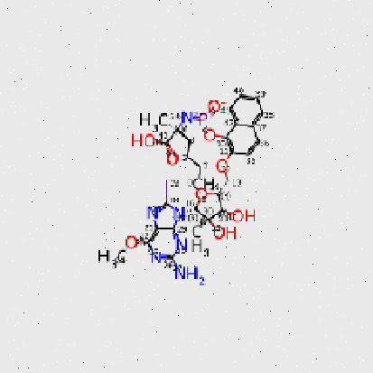 CCCC[C@](C)(/N=[P+](/[O-])Oc1c(OC[C@H]2O[C@@H](n3c(I)nc4c(OC)nc(N)nc43)[C@](C)(O)[C@@H]2O)ccc2ccccc12)C(=O)O